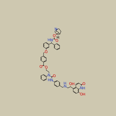 O=C(NC(c1ccccc1)c1cccc(OCc2ccc(C(=O)OCCN(C(=O)Nc3ccc(CNC[C@H](O)c4ccc(O)c5[nH]c(=O)ccc45)cc3)c3ccccc3)cc2)c1)O[C@H]1CN2CCC1CC2